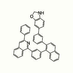 c1ccc(-c2cc3ccccc3c(-c3cccc(-c4c(-c5cccc(-c6ccc7c(c6)OCN7)c5)ccc5ccccc45)c3)n2)cc1